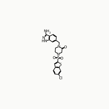 Nc1n[nH]c2cc(CN3CCN(S(=O)(=O)c4cc5ccc(Cl)cc5s4)CC3=O)ccc12